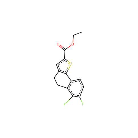 CCOC(=O)c1cc2c(s1)-c1ccc(F)c(F)c1CC2